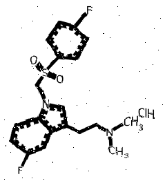 CN(C)CCc1cn(CS(=O)(=O)c2ccc(F)cc2)c2ccc(F)cc12.Cl